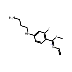 C=C/N=C(\SC)c1ccc(NCCCN)cc1F